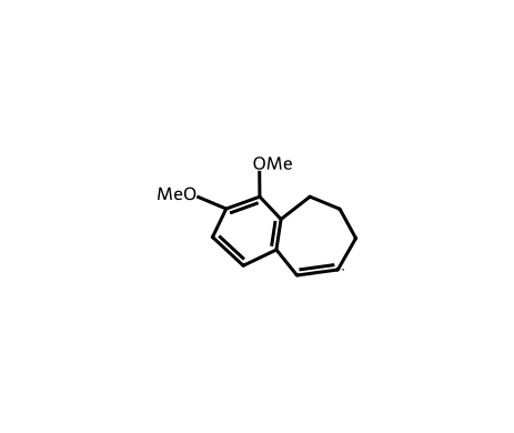 COc1ccc2c(c1OC)CCC[C]=C2